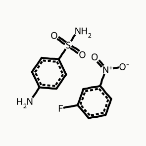 Nc1ccc(S(N)(=O)=O)cc1.O=[N+]([O-])c1cccc(F)c1